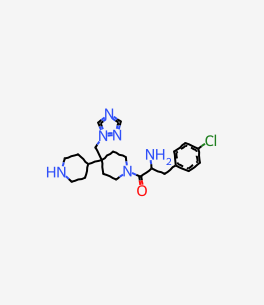 NC(Cc1ccc(Cl)cc1)C(=O)N1CCC(Cn2cncn2)(C2CCNCC2)CC1